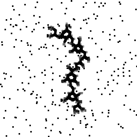 CCC(C)Nc1cc(C)cc(COc2c(Cl)cc(CC(=O)OC(=O)CNC(=O)c3cc(Cl)c(OCc4cc(C)cc(NC(C)CC)c4F)c(Cl)c3)cc2Cl)c1F